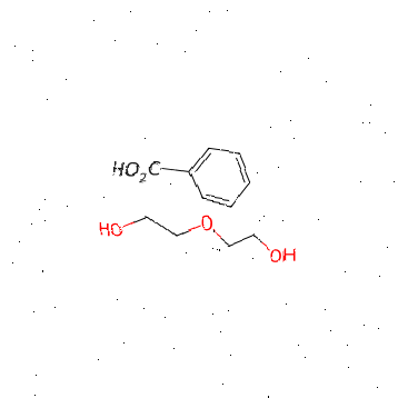 O=C(O)c1ccccc1.OCCOCCO